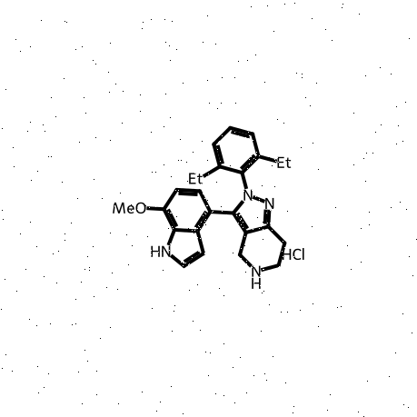 CCc1cccc(CC)c1-n1nc2c(c1-c1ccc(OC)c3[nH]ccc13)CNCC2.Cl